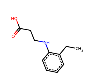 CCc1ccccc1NCCC(=O)O